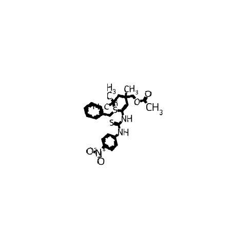 CC(=O)OCC1(C)C=C(NC(=S)Nc2ccc([N+](=O)[O-])cc2)[SH](Cc2ccccc2)C(C)(C)C1